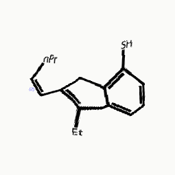 CCC/C=C\C1=C(CC)c2cccc(S)c2C1